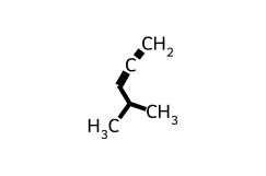 C=C=CC(C)C